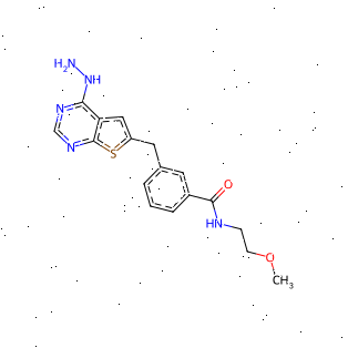 COCCNC(=O)c1cccc(Cc2cc3c(NN)ncnc3s2)c1